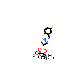 CC1(C)OB(c2cnn(Cc3cc(F)ccc3F)c2)OC1(C)C